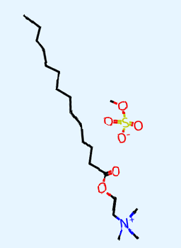 CCCCCCCCCCCCCC(=O)OCC[N+](C)(C)C.COS(=O)(=O)[O-]